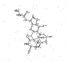 C[C@@H]1CN2c3c(cc4c(OC(=O)NC(C)(C)C)noc4c3F)CC3(C(=O)NC(=O)NC3=O)[C@H]2[C@H](C)O1